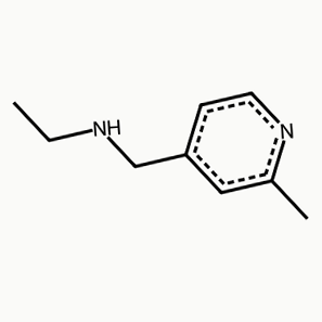 CCNCc1ccnc(C)c1